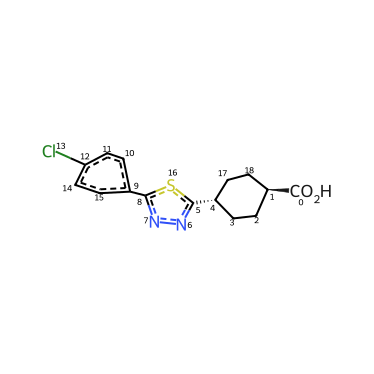 O=C(O)[C@H]1CC[C@H](c2nnc(-c3ccc(Cl)cc3)s2)CC1